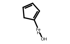 [OH][FeH][C]1=CC=CC1